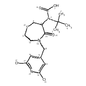 CC(C)(C)N(C(=O)O)C1CSCCN(Cc2cc(Cl)nc(Cl)c2)C1=O